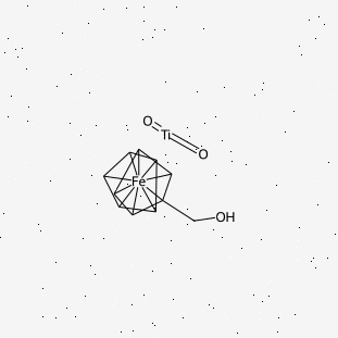 OC[C]12[CH]3[CH]4[CH]5[CH]1[Fe]45321678[CH]2[CH]1[CH]6[CH]7[CH]28.[O]=[Ti]=[O]